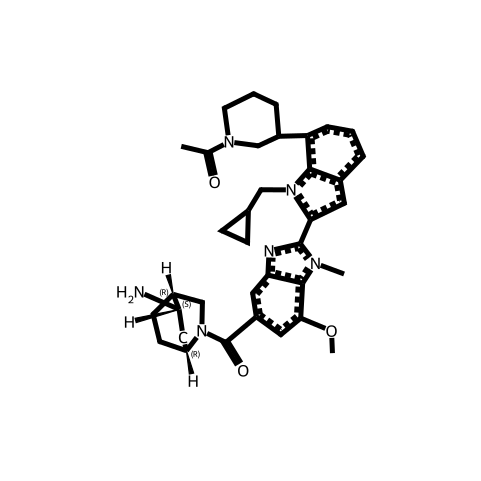 COc1cc(C(=O)N2C[C@H]3CC[C@@H]2C[C@@H]3N)cc2nc(-c3cc4cccc(C5CCCN(C(C)=O)C5)c4n3CC3CC3)n(C)c12